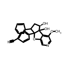 COc1cncc2c1C1(O)[C@H](O)CC(c3ccccc3)C1(c1ccc(C#N)cc1)O2